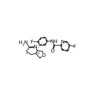 NC1=N[C@@]2(c3cc(NC(=O)c4ccc(F)cn4)ccc3F)COCC2CS1